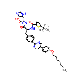 CCCCCCCOc1ccc(C2=CCN=C(c3ccc(C[C@H](NC(=O)c4ccc(C(C)(C)C)s4)C(=O)N[C@@H](Cc4cnc[nH]4)C(=O)O)cc3)N=C2)cc1